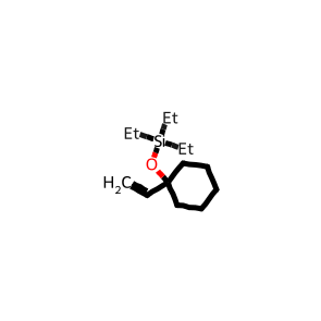 C=CC1(O[Si](CC)(CC)CC)CCCCC1